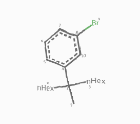 CCCCCCC(C)(CCCCCC)c1cccc(Br)c1